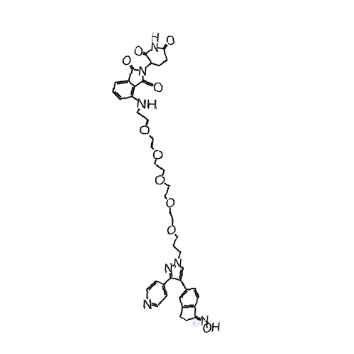 O=C1CCC(N2C(=O)c3cccc(NCCOCCOCCOCCOCCOCCCn4cc(-c5ccc6c(c5)CC/C6=N\O)c(-c5ccncc5)n4)c3C2=O)C(=O)N1